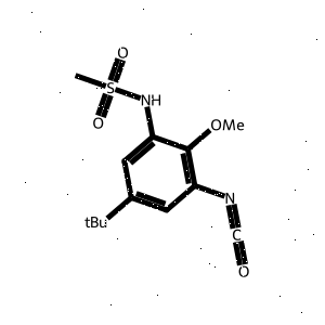 COc1c(N=C=O)cc(C(C)(C)C)cc1NS(C)(=O)=O